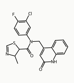 CC1N=CSC1C(=O)N(Cc1cc(=O)[nH]c2ccccc12)c1ccc(F)c(Cl)c1